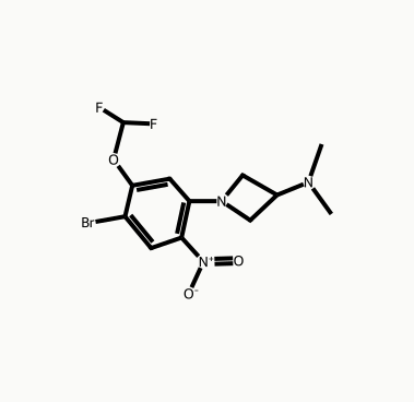 CN(C)C1CN(c2cc(OC(F)F)c(Br)cc2[N+](=O)[O-])C1